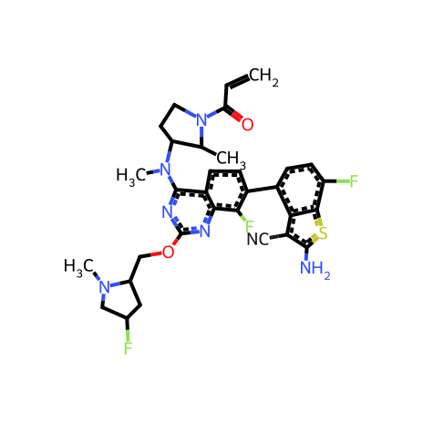 C=CC(=O)N1CCC(N(C)c2nc(OCC3CC(F)CN3C)nc3c(F)c(-c4ccc(F)c5sc(N)c(C#N)c45)ccc23)C1C